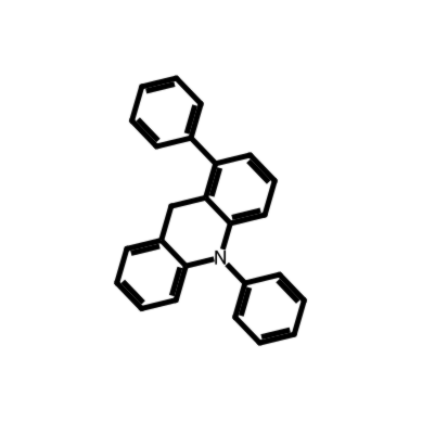 c1ccc(-c2cccc3c2Cc2ccccc2N3c2ccccc2)cc1